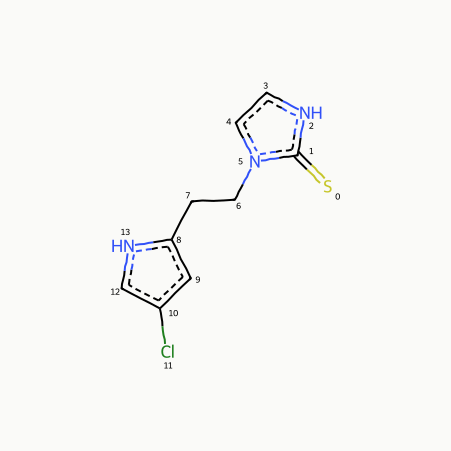 S=c1[nH]ccn1CCc1cc(Cl)c[nH]1